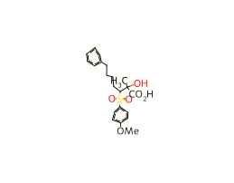 COc1ccc(S(=O)(=O)C(CCCCc2ccccc2)C(C)(O)C(=O)O)cc1